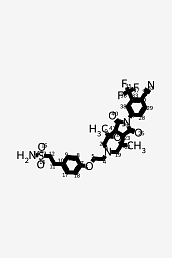 CC12CN(CCOc3ccc(CCS(N)(=O)=O)cc3)CC(C)(O1)C1C(=O)N(c3ccc(C#N)c(C(F)(F)F)c3)C(=O)C12